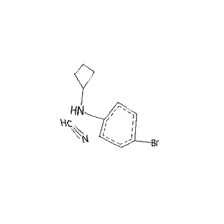 Brc1ccc(NC2CCC2)cc1.C#N